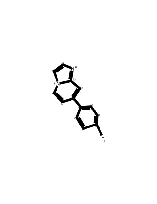 Fc1ccc(-c2ccn3ccnc3c2)cc1